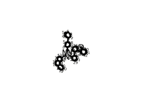 c1ccc(-c2ccc(-c3nc(-c4ccc5ccc6ccccc6c5c4)nc(-c4ccccc4-c4cccc5oc6ccccc6c45)n3)cc2)cc1